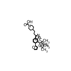 C[SiH](C)OC(c1c(-c2ccco2)ccc2c(CCC3CCN(C(=O)O)CC3)noc12)C(C)(C)C